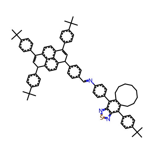 CC(C)(C)c1ccc(C2=CC(c3ccc(/C=N/c4ccc(-c5c6c(c(-c7ccc(C(C)(C)C)cc7)c7nsnc57)CCCCCCCC6)cc4)cc3)c3ccc4c5c(ccc2c35)C(c2ccc(C(C)(C)C)cc2)=CC4c2ccc(C(C)(C)C)cc2)cc1